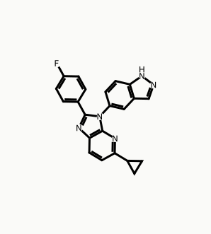 Fc1ccc(-c2nc3ccc(C4CC4)nc3n2-c2ccc3[nH]ncc3c2)cc1